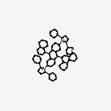 c1ccc(-c2ccc(-c3ccccc3)n2-c2ccc3c(-c4cc5ccccc5c5ccccc45)c4cc(-n5c(-c6ccccc6)ccc5-c5ccccc5)ccc4c(-c4cccc5ccccc45)c3c2)cc1